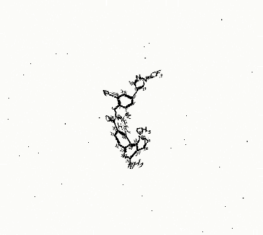 CC(=O)N(C)N(Cc1ccc(-c2cnn(C(F)(F)F)c2)cc1F)C(=O)c1ccc2nc(N)c3cnn(C)c3c2c1